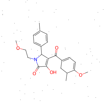 COCCN1C(=O)C(O)=C(C(=O)C2=CC=C(OC)C(C)C2)C1c1ccc(C)cc1